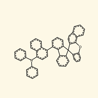 c1ccc(N(c2ccccc2)c2ccc(-c3cccc4c3-c3ccccc3C43c4ccccc4Oc4c3ccc3ccccc43)c3ccccc23)cc1